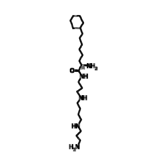 NCCCNCCCCNCCCNC(=O)[C@H](N)CCCCCCC1CCCCC1